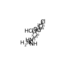 Cl.N=C(N)NCC1CCC(C(=O)Oc2ccc(Cl)cc2)CC1